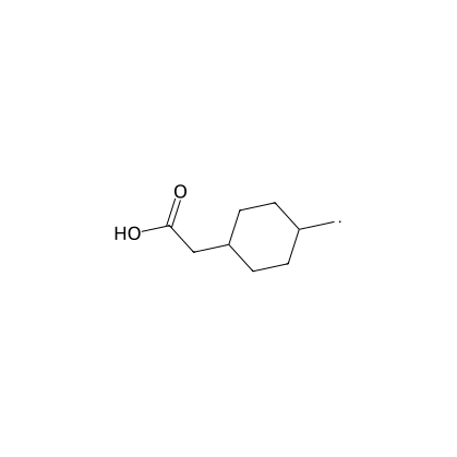 [CH2]C1CCC(CC(=O)O)CC1